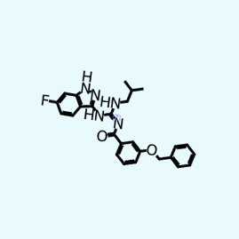 CC(C)CN/C(=N/C(=O)c1cccc(OCc2ccccc2)c1)Nc1n[nH]c2cc(F)ccc12